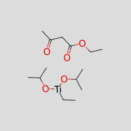 CCOC(=O)CC(C)=O.C[CH2][Ti]([O]C(C)C)[O]C(C)C